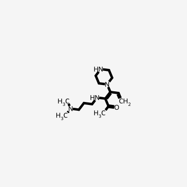 C=C/C(=C(/NCCCN(C)C)C(C)=O)N1CCNCC1